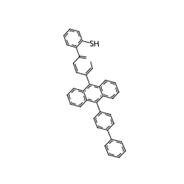 C=C(/C=C\C(=C/C)c1c2ccccc2c(-c2ccc(-c3ccccc3)cc2)c2ccccc12)c1ccccc1S